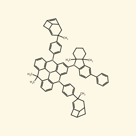 CC1(c2ccc(N3c4cc(N5c6ccc(-c7ccccc7)cc6C6(C)CCCCC56C)cc5c4B4c6c3cccc6C(C)(C)c3cccc(c34)N5c3ccc(C4(C)C=C5CC6CC(C4)C56)cc3)cc2)C=C2CC3=CC(C1)C32